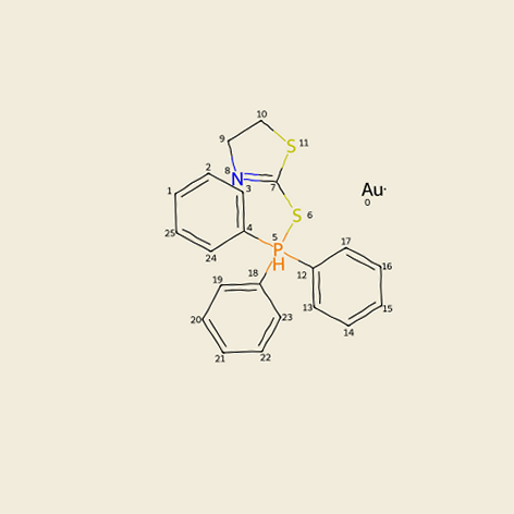 [Au].c1ccc([PH](SC2=NCCS2)(c2ccccc2)c2ccccc2)cc1